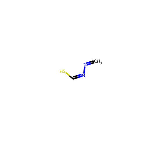 C=N/N=C\S